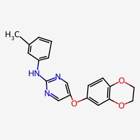 Cc1cccc(Nc2ncc(Oc3ccc4c(c3)OCCO4)cn2)c1